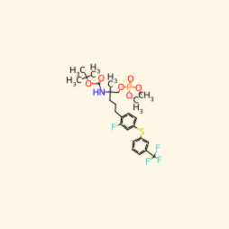 COP(=O)(OC)OCC(C)(CCCc1ccc(Sc2cccc(C(F)(F)F)c2)cc1F)NC(=O)OC(C)(C)C